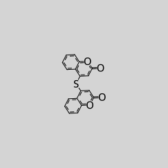 O=c1cc(Sc2cc(=O)oc3ccccc23)c2ccccc2o1